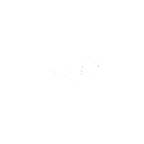 CC(Cc1ccccc1)(C(=O)O)P(=O)(O)O